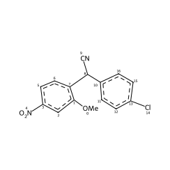 COc1cc([N+](=O)[O-])ccc1C(C#N)c1ccc(Cl)cc1